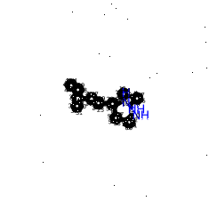 N=C1NC(c2ccccc2-c2ccccc2)NCc2ccc(-c3ccc4cc(-c5c6ccccc6cc6c5ccc5ccccc56)ccc4c3)cc2-c2cccc(c2)-c2ccccc21